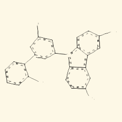 N#Cc1ccc2c(c1)c1cc(C#N)ccc1n2-c1cc(Br)cc(-c2ccccc2C#N)c1